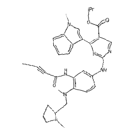 CC#CC(=O)Nc1cc(Nc2ncc(C(=O)OC(C)C)c(-c3cn(C)c4ccccc34)n2)ccc1N(C)CC1CCCN1C